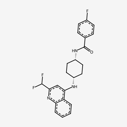 O=C(N[C@H]1CC[C@@H](Nc2cc(C(F)F)nc3ccccc23)CC1)c1ccc(F)cc1